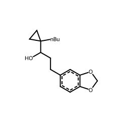 CCCCC1(C(O)CCc2ccc3c(c2)OCO3)CC1